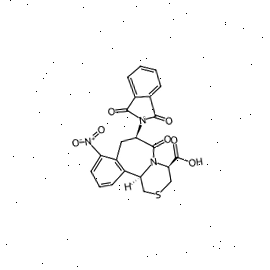 O=C(O)[C@H]1CSC[C@H]2c3cccc([N+](=O)[O-])c3C[C@@H](N3C(=O)c4ccccc4C3=O)C(=O)N12